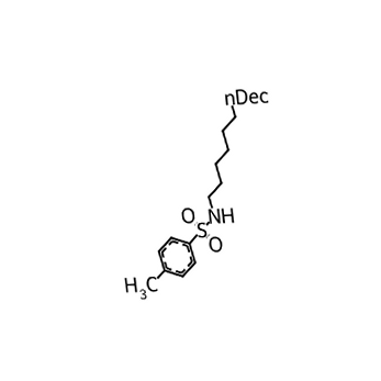 CCCCCCCCCCCCCCCCNS(=O)(=O)c1ccc(C)cc1